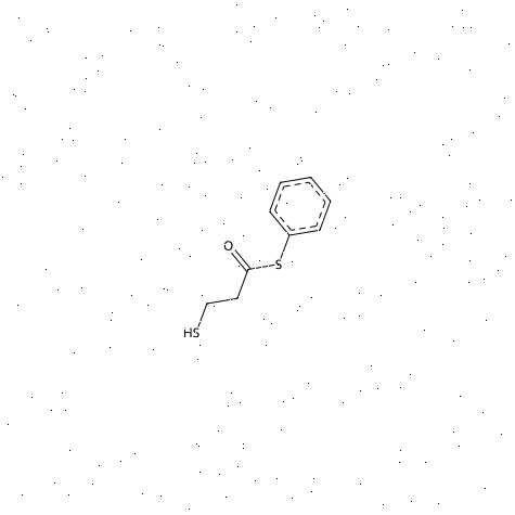 O=C(CCS)Sc1ccccc1